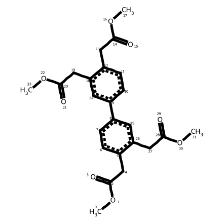 COC(=O)Cc1ccc(-c2ccc(CC(=O)OC)c(CC(=O)OC)c2)cc1CC(=O)OC